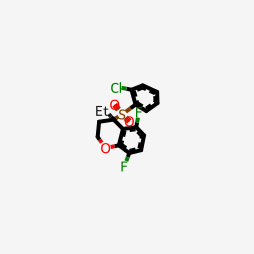 CCC1(S(=O)(=O)c2ccccc2Cl)CCOc2c(F)ccc(F)c21